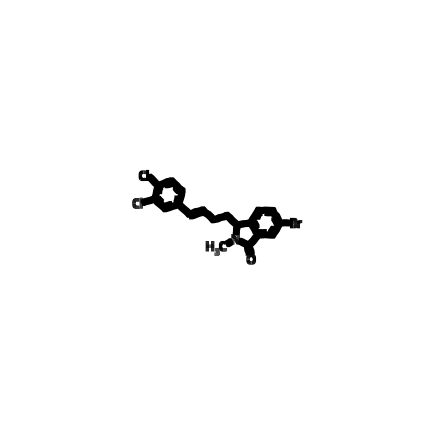 CN1C(=O)c2cc(Br)ccc2C1CCC=Cc1ccc(Cl)c(Cl)c1